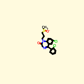 C[S+]([O-])CCCN1C(=O)CN=C(c2ccccc2Cl)c2cc(Cl)ccc21